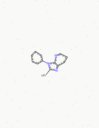 CC[CH]c1nc2cccnc2n1-c1ccccc1